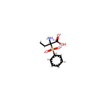 CCC(N)(C(=O)O)S(=O)(=O)c1ccccc1